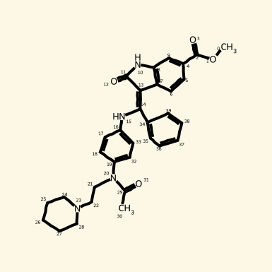 COC(=O)c1ccc2c(c1)NC(=O)/C2=C(\Nc1ccc(N(CCN2CCCCC2)C(C)=O)cc1)c1ccccc1